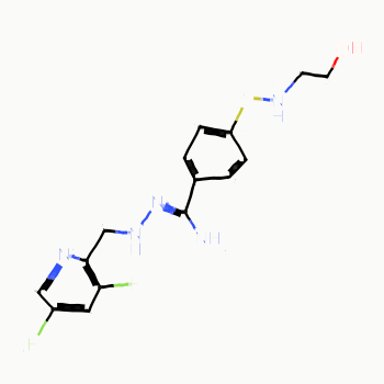 N/C(=N\NCc1ncc(F)cc1F)c1ccc(SNCCO)cc1